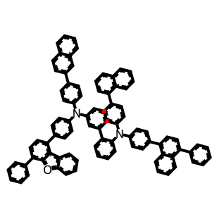 c1ccc(-c2ccc(-c3ccc(N(c4ccc(-c5cccc6ccccc56)cc4)c4ccccc4-c4cccc(N(c5ccc(-c6ccc7ccccc7c6)cc5)c5ccc(-c6ccc(-c7ccccc7)c7oc8ccccc8c67)cc5)c4)cc3)c3ccccc23)cc1